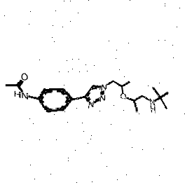 CC(=O)Nc1ccc(-c2cn(CC(C)OC(C)CNC(C)(C)C)nn2)cc1